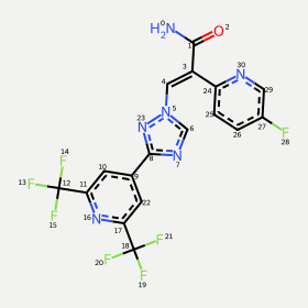 NC(=O)/C(=C/n1cnc(-c2cc(C(F)(F)F)nc(C(F)(F)F)c2)n1)c1ccc(F)cn1